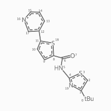 CC(C)(C)c1csc(NC(=O)c2ccc(-c3cccnc3)s2)n1